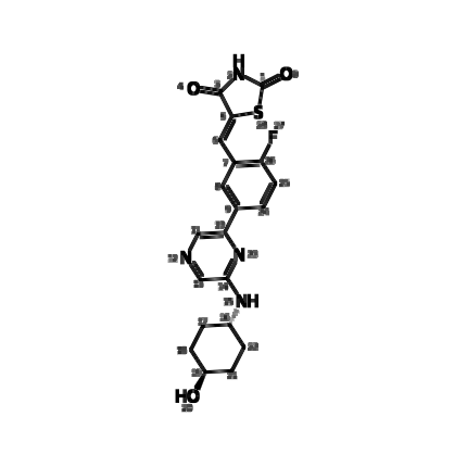 O=C1NC(=O)/C(=C/c2cc(-c3cncc(N[C@H]4CC[C@H](O)CC4)n3)ccc2F)S1